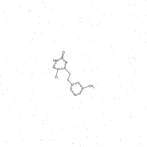 Cc1cccc(SCc2nc(=O)[nH]cc2Cl)c1